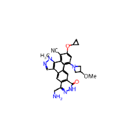 COC1CN(c2cc(OC3CC3)c(C#N)c3c2c2cc4c(=O)[nH]nc(CN)c4cc2c2cnn(C)c23)C1